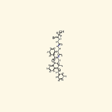 CC1=C(C/C=C(\C)CC/C=C(\C)CCC(Br)C(C)(C)O)C(OCc2ccccc2)c2ccccc2C1OCc1ccccc1